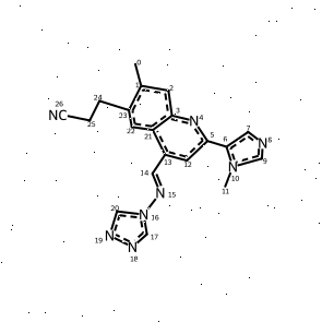 Cc1cc2nc(-c3cncn3C)cc(/C=N/n3cnnc3)c2cc1CCC#N